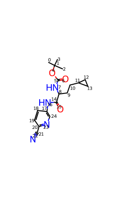 CC(C)(C)OC(=O)NC(CCC1CC1)C(=O)Nc1ccc(C#N)nc1